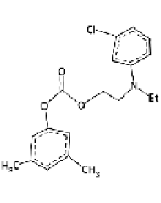 CCN(CCOC(=O)Oc1cc(C)cc(C)c1)c1cccc(Cl)c1